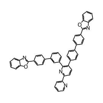 c1ccc(-c2ccc(-c3ccc(-c4ccc(-c5nc6ccccc6o5)cc4)cc3)c(-c3cccc(-c4ccc(-c5nc6ccccc6o5)cc4)c3)n2)nc1